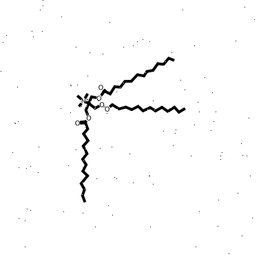 CCCCCCCCCCCCCOOCC(COC(=O)CCCCCCCCCCCCC)(COC(=O)CCCCCCCCCCCCC)[N+](C)(C)C